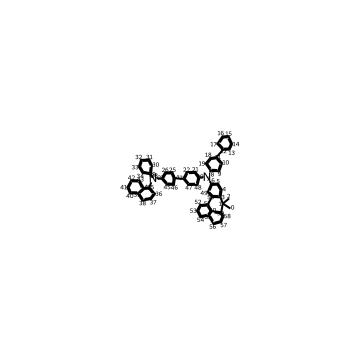 CC1(C)c2ccc(N(c3ccc(-c4ccccc4)cc3)c3ccc(-c4ccc(N(c5ccccc5)c5cccc6ccccc56)cc4)cc3)cc2-c2cccc3cccc1c23